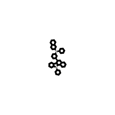 c1ccc(N(c2cccc(-c3cc4ccccc4c4c3c3ccccc3n4-c3ccccc3)c2)c2ccc3ccccc3c2)cc1